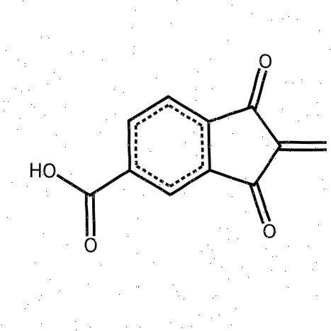 C=C1C(=O)c2ccc(C(=O)O)cc2C1=O